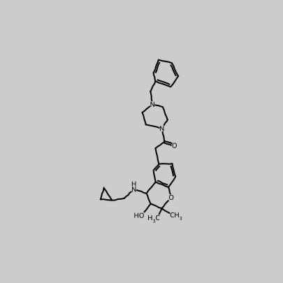 CC1(C)Oc2ccc(CC(=O)N3CCN(Cc4ccccc4)CC3)cc2C(NCC2CC2)C1O